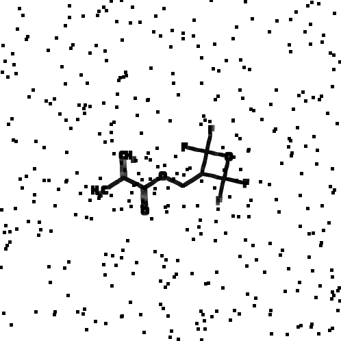 C=C(C)C(=O)OCC1C(F)(F)OC1(F)F